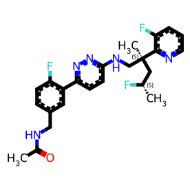 CC(=O)NCc1ccc(F)c(-c2ccc(NC[C@](C)(C[C@H](C)F)c3ncccc3F)nn2)c1